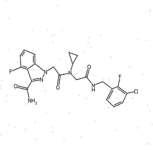 NC(=O)c1nn(CC(=O)N(CC(=O)NCc2cccc(Cl)c2F)C2CC2)c2cccc(F)c12